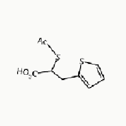 CC(=O)SC(Cc1cccs1)C(=O)O